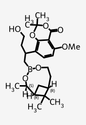 COc1ccc(C(CCO)CB2OCC[C@H]3C[C@@H]([C@H](C)O2)C3(C)C)c2c1C(=O)OC(C)(C)O2